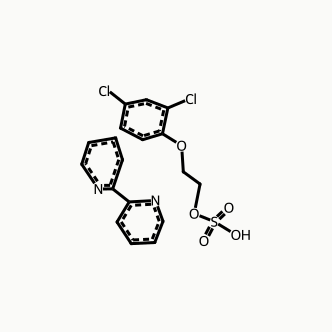 O=S(=O)(O)OCCOc1ccc(Cl)cc1Cl.c1ccc(-c2ccccn2)nc1